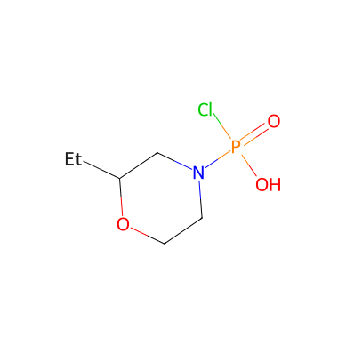 CCC1CN(P(=O)(O)Cl)CCO1